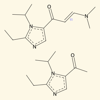 CCc1ncc(C(=O)/C=C/N(C)C)n1C(C)C.CCc1ncc(C(C)=O)n1C(C)C